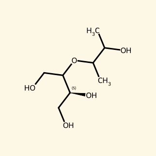 CC(O)C(C)OC(CO)[C@@H](O)CO